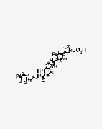 O=C(NCCCN1CCC(F)CC1)c1ccc2c(c1)sc1nc(-c3ccc([C@H]4CCN(C(=O)O)C4)cc3F)cn12